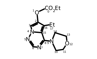 CCOC(=O)Oc1cn2ncnc(N3CCOCC3)c2c1CC